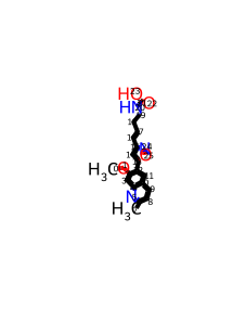 COc1cc2nc(C)ccc2cc1-c1cc(C=CCCNC(=O)O)no1